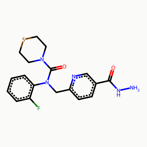 NNC(=O)c1ccc(CN(C(=O)N2CCSCC2)c2ccccc2F)nc1